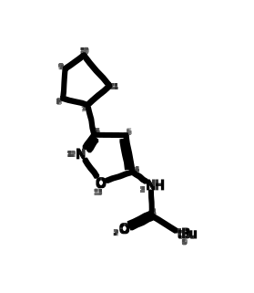 CC(C)(C)C(=O)Nc1cc(C2CCCC2)no1